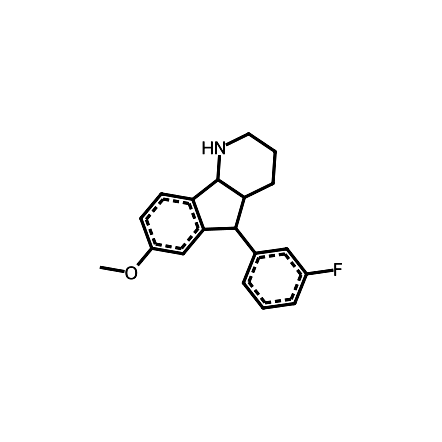 COc1ccc2c(c1)C(c1cccc(F)c1)C1CCCNC21